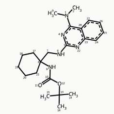 CN(C)c1nc(NCC2(NC(=O)OC(C)(C)C)CCCCC2)nc2ccccc12